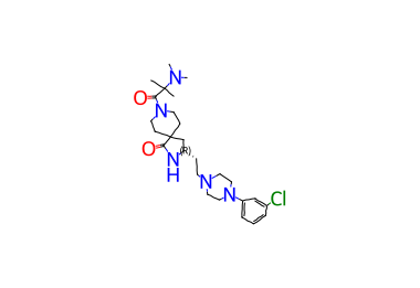 CN(C)C(C)(C)C(=O)N1CCC2(CC1)C[C@H](CCN1CCN(c3cccc(Cl)c3)CC1)NC2=O